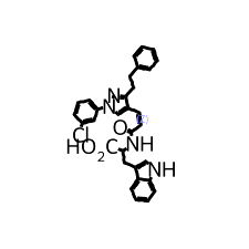 O=C(/C=C\c1cn(-c2cccc(Cl)c2)nc1CCc1ccccc1)NC(Cc1c[nH]c2ccccc12)C(=O)O